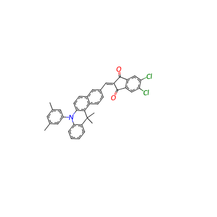 Cc1cc(C)cc(N2c3ccccc3C(C)(C)c3c2ccc2cc(C=C4C(=O)c5cc(Cl)c(Cl)cc5C4=O)ccc32)c1